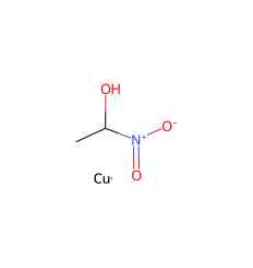 CC(O)[N+](=O)[O-].[Cu]